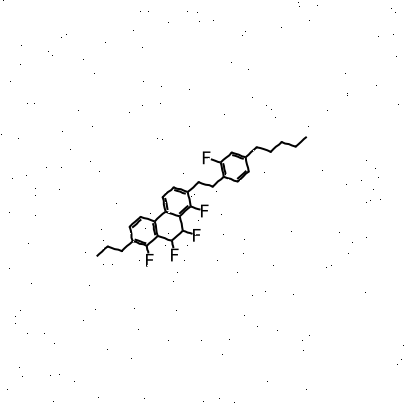 CCCCCc1ccc(CCc2ccc3c(c2F)C(F)C(F)c2c-3ccc(CCC)c2F)c(F)c1